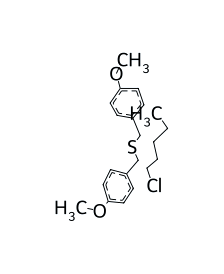 CCCCCCl.COc1ccc(CSCc2ccc(OC)cc2)cc1